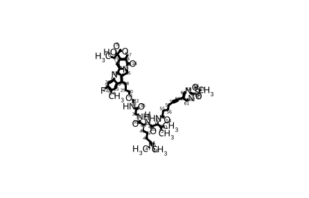 CC[C@@]1(O)C(=O)OCc2c1cc1n(c2=O)Cc2c-1nc1cc(F)c(C)cc1c2CCCOCNC(=O)CNC(=O)[C@H](CCCCN(C)C)NC(=O)[C@@H](NC(=O)CCCC#Cc1cnc(S(C)(=O)=O)nc1)C(C)C